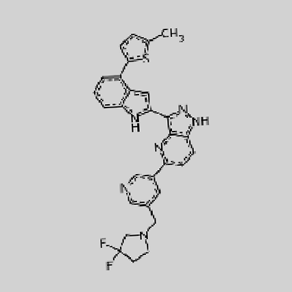 Cc1ccc(-c2cccc3[nH]c(-c4n[nH]c5ccc(-c6cncc(CN7CCC(F)(F)C7)c6)nc45)cc23)s1